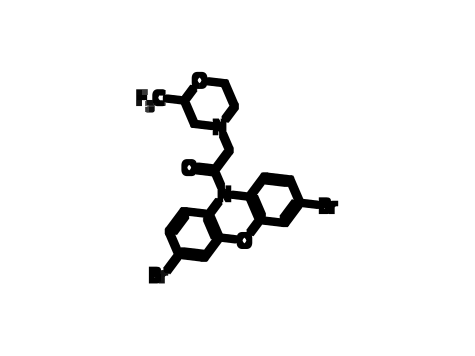 O=C(CN1CCOC(C(F)(F)F)C1)N1c2ccc(Br)cc2Oc2cc(Br)ccc21